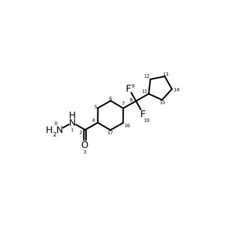 NNC(=O)C1CCC(C(F)(F)C2CCCC2)CC1